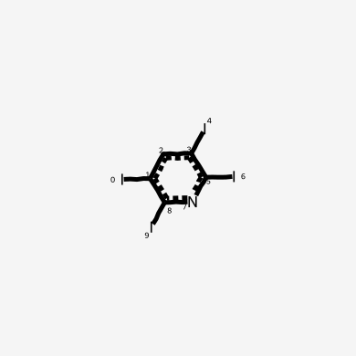 Ic1cc(I)c(I)nc1I